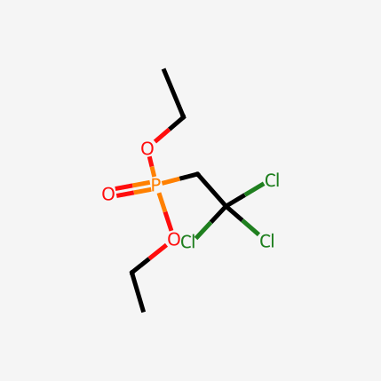 CCOP(=O)(CC(Cl)(Cl)Cl)OCC